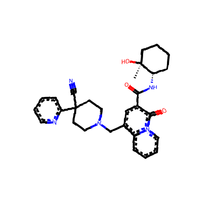 C[C@]1(O)CCCC[C@@H]1NC(=O)c1cc(CN2CCC(C#N)(c3ccccn3)CC2)c2ccccn2c1=O